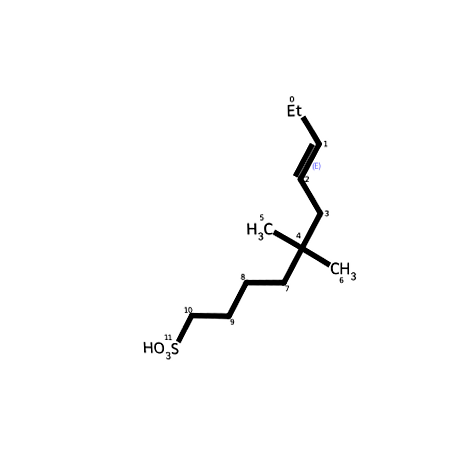 CC/C=C/CC(C)(C)CCCCS(=O)(=O)O